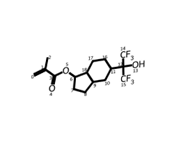 C=C(C)C(=O)OC1CCC2CC(C(O)(C(F)(F)F)C(F)(F)F)CCC21